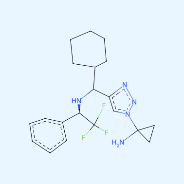 NC1(n2cc(C(N[C@H](c3ccccc3)C(F)(F)F)C3CCCCC3)nn2)CC1